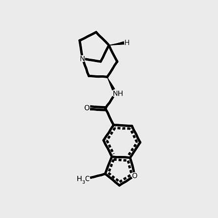 Cc1coc2ccc(C(=O)N[C@@H]3C[C@H]4CCN(C4)C3)cc12